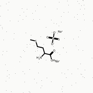 CSCCC(N)C(=O)O.O=S([O-])([O-])=S.[Na+].[Na+]